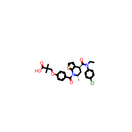 CCN(C(=O)[C@H]1C[C@H](C)N(C(=O)c2ccc(OCC(C)(C)C(=O)O)cc2)c2sccc21)c1ccc(Cl)cc1